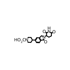 O=C1CCC(N2Cc3cc(C4CCN(C(=O)O)CC4)ccc3C2=O)C(=O)N1